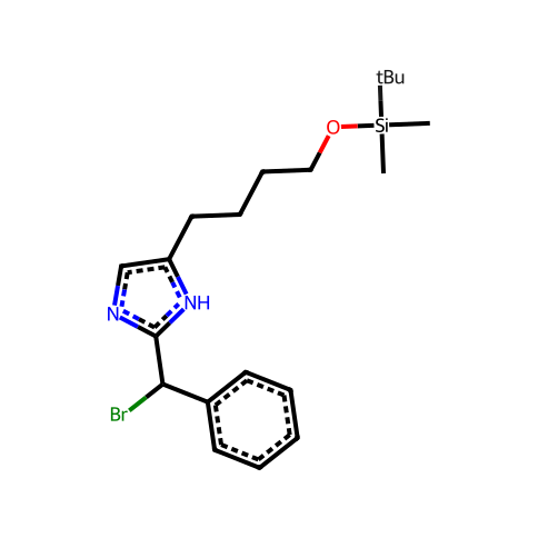 CC(C)(C)[Si](C)(C)OCCCCc1cnc(C(Br)c2ccccc2)[nH]1